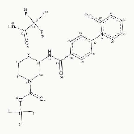 CC(C)(C)OC(=O)N1CCCC(NC(=O)c2ccc(-n3ccccc3=O)cc2)C1.O=C(O)C(F)(F)F